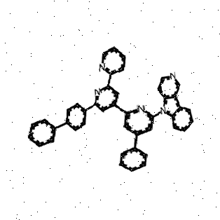 c1ccc(-c2ccc(-c3cc(-c4cc(-c5ccccc5)cc(-n5c6ccccc6c6cnccc65)n4)cc(-c4ccccn4)n3)cc2)cc1